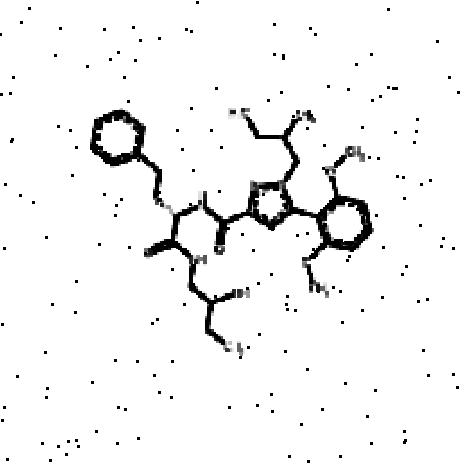 CCC(C)Cn1nc(C(=O)N[C@@H](CCc2ccccc2)C(=O)NCC(O)CC)cc1-c1c(OC)cccc1OC